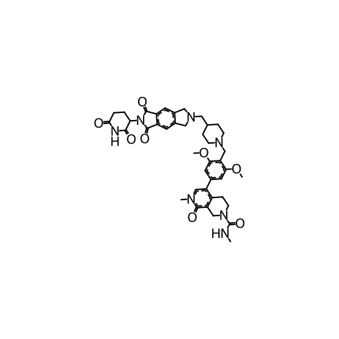 CNC(=O)N1CCc2c(-c3cc(OC)c(CN4CCC(CN5Cc6cc7c(cc6C5)C(=O)N(C5CCC(=O)NC5=O)C7=O)CC4)c(OC)c3)cn(C)c(=O)c2C1